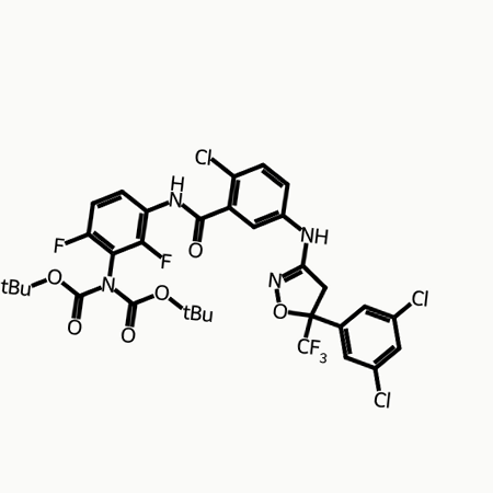 CC(C)(C)OC(=O)N(C(=O)OC(C)(C)C)c1c(F)ccc(NC(=O)c2cc(NC3=NOC(c4cc(Cl)cc(Cl)c4)(C(F)(F)F)C3)ccc2Cl)c1F